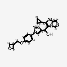 OC(c1cn(-c2ccc(OCC3COC3)cc2)nn1)c1c(C2CC2)sc2cncn12